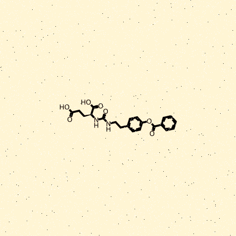 O=C(O)CC[C@H](NC(=O)NCCc1ccc(OC(=O)c2ccccc2)cc1)C(=O)O